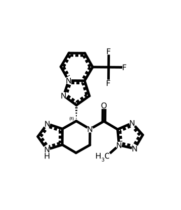 Cn1ncnc1C(=O)N1CCc2[nH]cnc2[C@@H]1c1cc2c(C(F)(F)F)cccn2n1